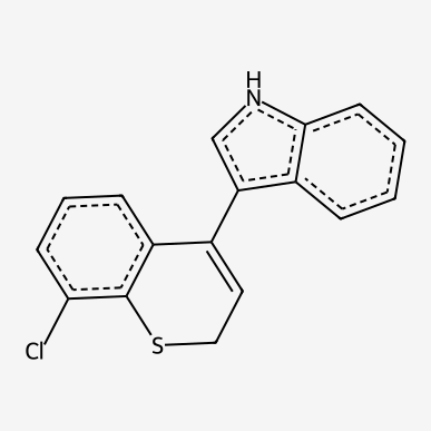 Clc1cccc2c1SCC=C2c1c[nH]c2ccccc12